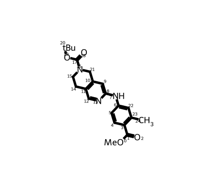 COC(=O)c1ccc(Nc2cc3c(cn2)CCN(C(=O)OC(C)(C)C)C3)cc1C